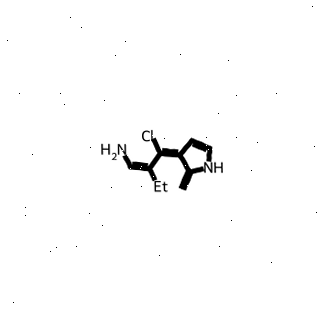 C=c1[nH]cc/c1=C(Cl)/C(=C\N)CC